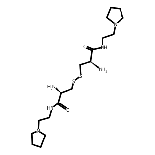 N[C@@H](CSSC[C@H](N)C(=O)NCCN1CCCC1)C(=O)NCCN1CCCC1